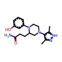 Cc1n[nH]c(C)c1N1CCN(c2cccc(O)c2)C(CCC(N)=O)C1